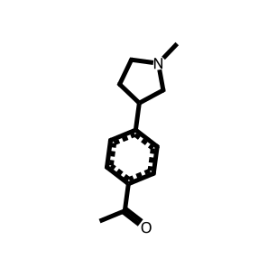 CC(=O)c1ccc(C2CCN(C)C2)cc1